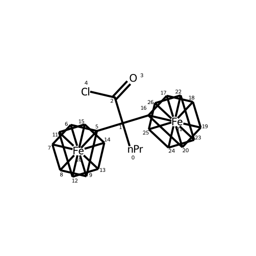 CCCC(C(=O)Cl)([C]12[CH]3[CH]4[CH]5[CH]1[Fe]45321678[CH]2[CH]1[CH]6[CH]7[CH]28)[C]12[CH]3[CH]4[CH]5[CH]1[Fe]45321678[CH]2[CH]1[CH]6[CH]7[CH]28